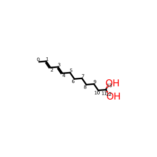 C/C=C/C=C/CCCCCCC(O)O